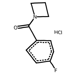 Cl.O=C(c1ccc(F)cc1)N1CCC1